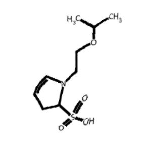 CC(C)OCCN1C=CCC1S(=O)(=O)O